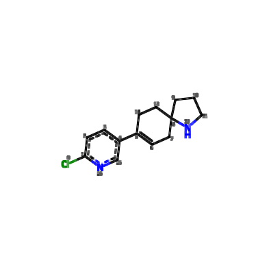 Clc1ccc(C2=CCC3(CCCN3)CC2)cn1